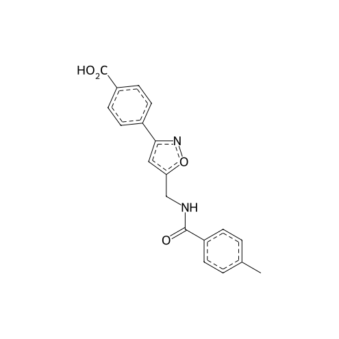 Cc1ccc(C(=O)NCc2cc(-c3ccc(C(=O)O)cc3)no2)cc1